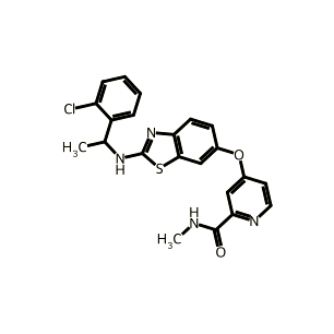 CNC(=O)c1cc(Oc2ccc3nc(NC(C)c4ccccc4Cl)sc3c2)ccn1